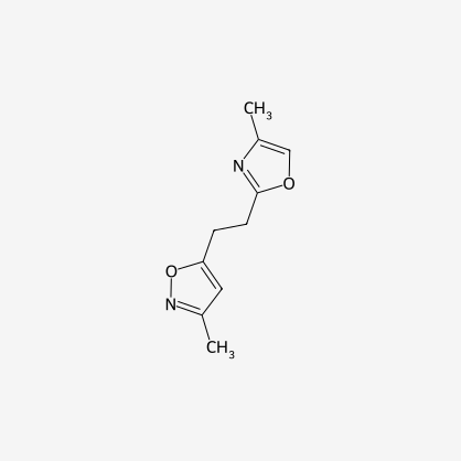 Cc1cc(CCc2nc(C)co2)on1